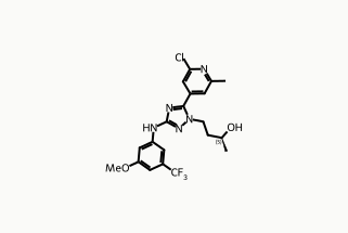 COc1cc(Nc2nc(-c3cc(C)nc(Cl)c3)n(CC[C@H](C)O)n2)cc(C(F)(F)F)c1